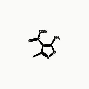 CO[N+](=O)c1c(C)noc1N